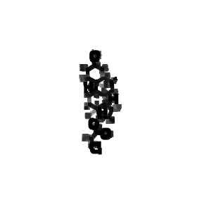 C[C@]12CC[C@H]3[C@@H](CCC4=CC(=O)CC[C@@]43C)[C@@H]1CC[C@@H]2OC(=O)CCl